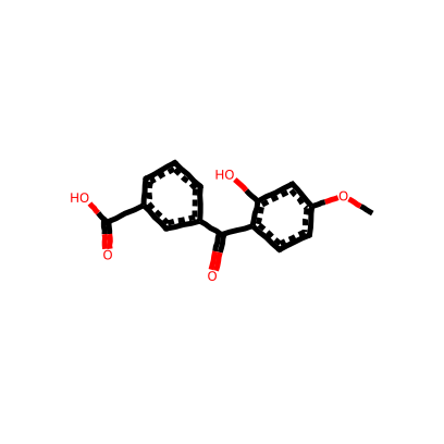 COc1ccc(C(=O)c2cccc(C(=O)O)c2)c(O)c1